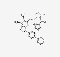 CC1CCC(CCc2nc3c(-c4ccc(-c5ccccc5)nc4)cnn3c(N)c2C2CC2)N1C(=O)c1nnc[nH]1